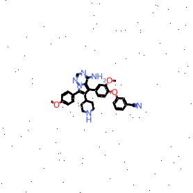 COc1ccc(-c2c(C3CCNCC3)c(-c3ccc(Oc4cccc(C#N)c4)c(OC)c3)c3c(N)ncnn23)cc1